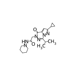 CC(C)c1nn(CC(=O)NN2CCCCC2)c(=O)c2cc(C3CC3)nn12